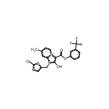 Cc1cc[n+]2c(C(=O)Oc3cccc(C(F)(F)F)c3)c(O)n(Cc3cnc(Cl)s3)c2c1